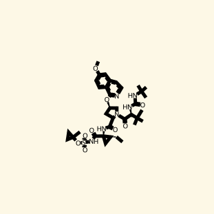 CC[C@@H]1C[C@]1(NC(=O)C1C[C@@H](Oc2nccc3cc(OC)ccc23)CN1C(=O)[C@@H](NC(=O)NC(C)(C)C)C(C)(C)C)C(=O)NS(=O)(=O)OC1(C)CC1